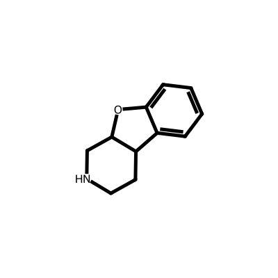 c1ccc2c(c1)OC1CNCCC21